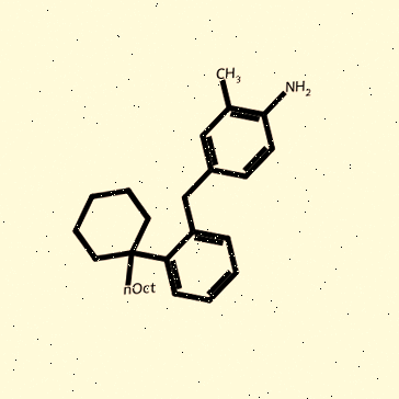 CCCCCCCCC1(c2ccccc2Cc2ccc(N)c(C)c2)CCCCC1